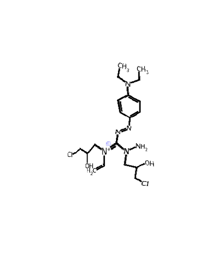 C=C/[N+](CC(O)CCl)=C(/N=Nc1ccc(N(CC)CC)cc1)N(N)CC(O)CCl